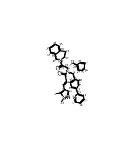 Cc1c(C=CC(=O)N(Cc2ccc(-c3ccccn3)cc2)[C@@H](Cc2ccccc2)C(=O)N2CCc3ccccc3C2)cnn1C